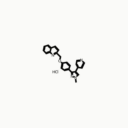 Cl.Cn1cc(-c2ccncc2)c(-c2ccc(OCc3ccc4ccccc4n3)cc2)n1